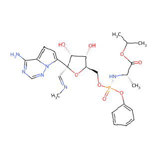 CN=C[C@@]1(c2ccc3c(N)ncnn23)O[C@H](CO[P@@](=O)(N[C@@H](C)C(=O)OC(C)C)Oc2ccccc2)[C@@H](O)[C@H]1O